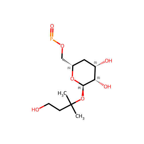 CC(C)(CCO)O[C@H]1O[C@H](COP=O)C[C@H](O)[C@@H]1O